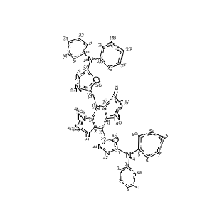 c1ccc(N(c2ccccc2)c2nnc(-c3c4c(c(-c5nnc(N(c6ccccc6)c6ccccc6)o5)c5nsnc35)N=S=N4)o2)cc1